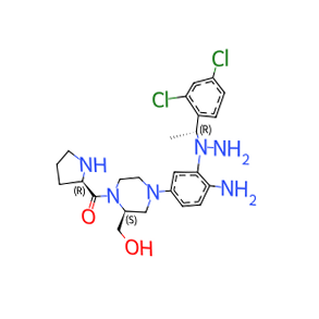 C[C@H](c1ccc(Cl)cc1Cl)N(N)c1cc(N2CCN(C(=O)[C@H]3CCCN3)[C@H](CO)C2)ccc1N